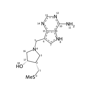 CSC[C@H]1CN(Cc2c[nH]c3c(N)ncnc23)C[C@H]1O